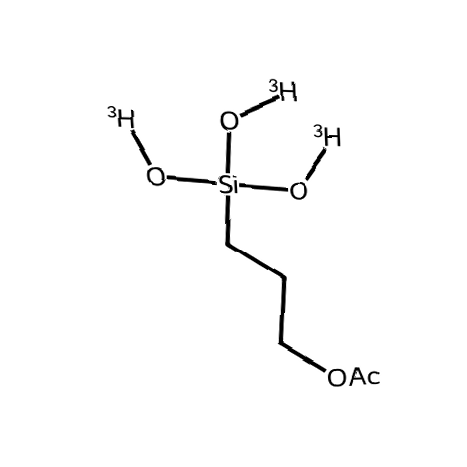 [3H]O[Si](CCCOC(C)=O)(O[3H])O[3H]